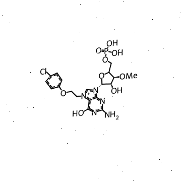 CO[C@@H]1C(COP(=O)(O)O)O[C@@H](n2c[n+](CCOc3ccc(Cl)cc3)c3c(O)nc(N)nc32)[C@@H]1O